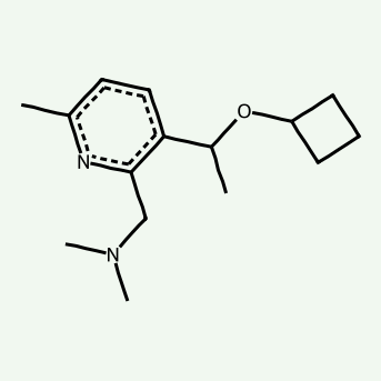 Cc1ccc(C(C)OC2CCC2)c(CN(C)C)n1